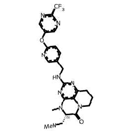 CNC[C@H]1C(=O)N2CCCc3nc(NCc4ccc(Oc5cnc(C(F)(F)F)nc5)nc4)nc(c32)N1C